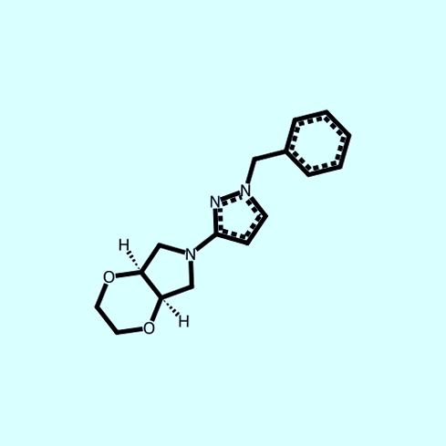 c1ccc(Cn2ccc(N3C[C@@H]4OCCO[C@@H]4C3)n2)cc1